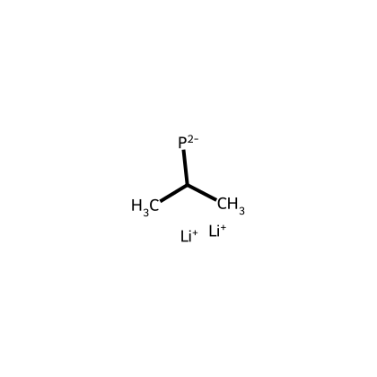 CC(C)[P-2].[Li+].[Li+]